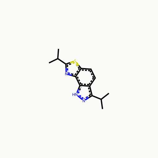 CC(C)c1nc2c(ccc3c(C(C)C)n[nH]c32)s1